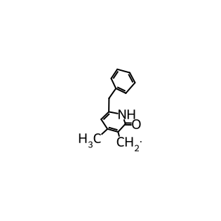 [CH2]c1c(C)cc(Cc2ccccc2)[nH]c1=O